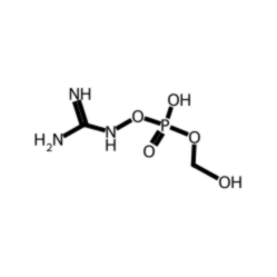 N=C(N)NOP(=O)(O)OCO